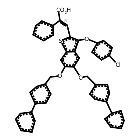 O=C(O)/C(=C/c1sc2cc(OCc3ccc(-c4ccccc4)cc3)c(OCc3ccc(-c4ccccc4)cc3)cc2c1Oc1ccc(Cl)cc1)c1ccccc1